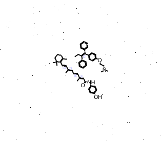 CC/C(=C(\c1ccccc1)c1ccc(OCCN(C)C)cc1)c1ccccc1.CC1=C(/C=C/C(C)=C/C=C/C(C)=C/C(=O)Nc2ccc(O)cc2)C(C)(C)CCC1